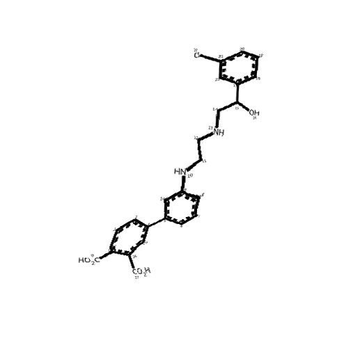 O=C(O)c1ccc(-c2cccc(NCCNCC(O)c3cccc(Cl)c3)c2)cc1C(=O)O